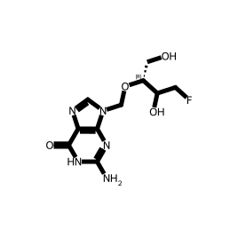 Nc1nc2c(ncn2CO[C@H](CO)C(O)CF)c(=O)[nH]1